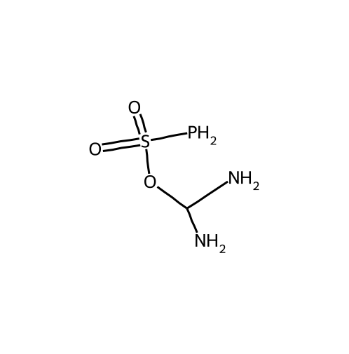 NC(N)OS(=O)(=O)P